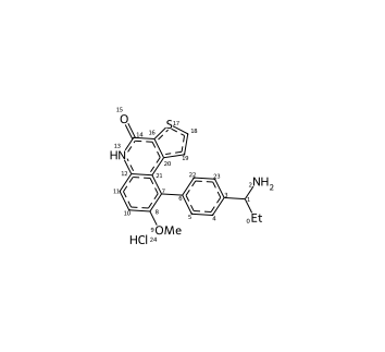 CCC(N)c1ccc(-c2c(OC)ccc3[nH]c(=O)c4sccc4c23)cc1.Cl